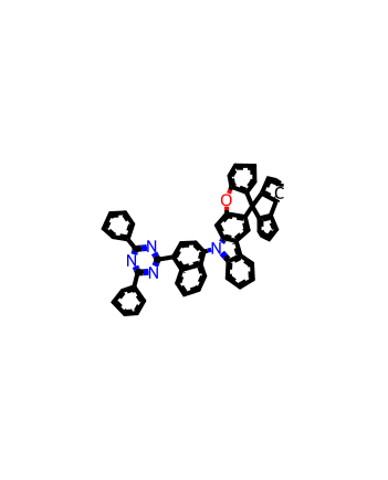 c1ccc(-c2nc(-c3ccccc3)nc(-c3ccc(-n4c5ccccc5c5cc6c(cc54)Oc4ccccc4C64c5ccccc5-c5ccccc54)c4ccccc34)n2)cc1